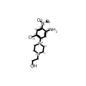 Nc1cc(N2CCN(CCO)CC2)c(Cl)cc1[N+](=O)[O-]